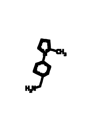 Cc1cccn1-c1ccc(CN)cc1